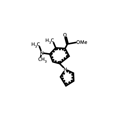 COC(=O)c1cc(-n2cccc2)cc(N(C)C)c1C